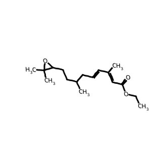 CCOC(=O)C=C(C)C=CCC(C)CCC1OC1(C)C